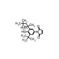 CC(C)(C)CC(C)(C)c1cc(N2C(=O)C=CC2=O)cc(C(C)(C)C)c1O